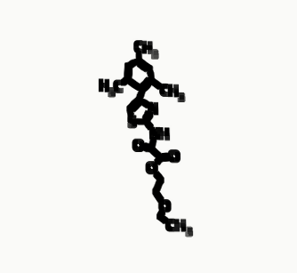 CCOCCOC(=O)C(=O)Nc1nc(-c2c(C)cc(C)cc2C)cs1